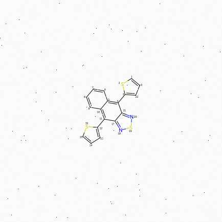 c1csc(-c2c3ccccc3c(-c3cccs3)c3nsnc23)c1